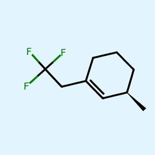 C[C@H]1C=C(CC(F)(F)F)CCC1